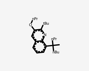 CCCCC(C)(CCC)c1cccc2cc(OCCC)c(C(C)(C)C)nc12